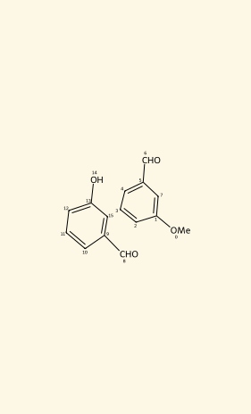 COc1cccc(C=O)c1.O=Cc1cccc(O)c1